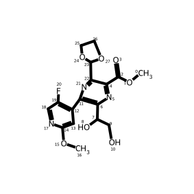 COC(=O)c1nc(C(O)CO)c(-c2cc(OC)ncc2F)nc1C1OCCO1